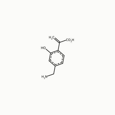 C=C(C(=O)O)c1ccc(CN)cc1O